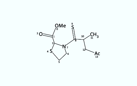 COC(=O)C1SCCN1C(=S)C(C)CC(C)=O